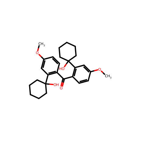 COc1ccc(C(=O)c2ccc(OC)cc2C2(O)CCCCC2)c(C2(O)CCCCC2)c1